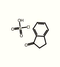 O=C1CCc2ccccc21.O=S(=O)(O)Cl